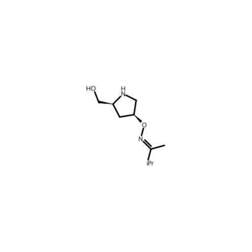 C/C(=N\O[C@@H]1CN[C@H](CO)C1)C(C)C